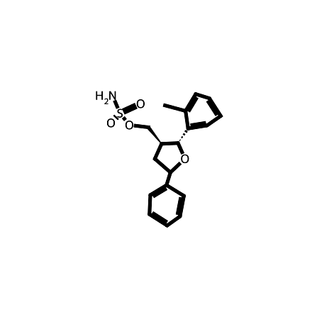 Cc1ccccc1[C@@H]1OC(c2ccccc2)C[C@H]1COS(N)(=O)=O